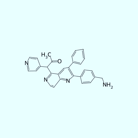 CC(=O)C(c1ccncc1)c1nccc2nc(-c3ccc(CN)cc3)c(-c3ccccc3)cc12